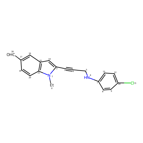 CCn1c(C#CCNc2ccc(Cl)cc2)cc2cc(C=O)ccc21